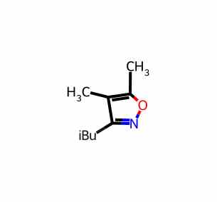 CCC(C)c1noc(C)c1C